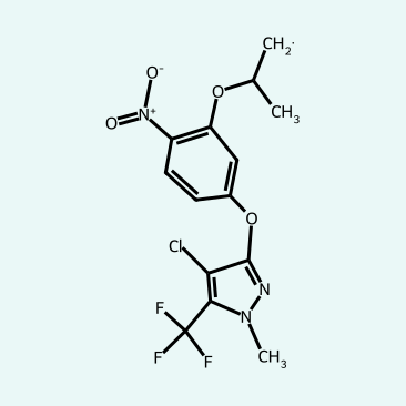 [CH2]C(C)Oc1cc(Oc2nn(C)c(C(F)(F)F)c2Cl)ccc1[N+](=O)[O-]